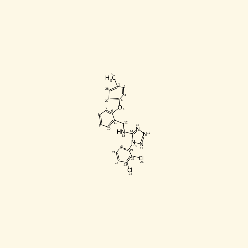 Cc1ccc(Oc2ccccc2CNc2nnnn2-c2cccc(Cl)c2Cl)cc1